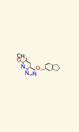 COc1ccc2c(OCc3ccc4c(c3)CCC4)ncnc2n1